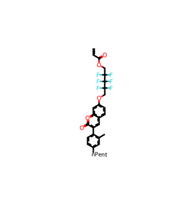 C=CC(=O)OCC(F)(F)C(F)(F)C(F)(F)COc1ccc2cc(-c3ccc(CCCCC)cc3C)c(=O)oc2c1